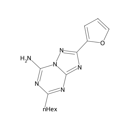 CCCCCCc1nc(N)n2nc(-c3ccco3)nc2n1